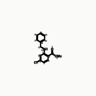 COC(=O)c1ccc(Cl)nc1NCc1ccccc1